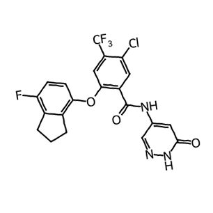 O=C(Nc1cn[nH]c(=O)c1)c1cc(Cl)c(C(F)(F)F)cc1Oc1ccc(F)c2c1CCC2